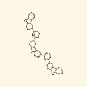 c1cc(-c2ccc3oc4ccccc4c3c2)nc(-c2ccc3sc4ccc(-c5cccc(-c6ccc7oc8ccccc8c7c6)n5)cc4c3c2)c1